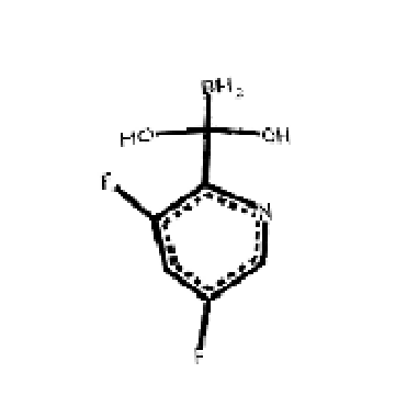 BC(O)(O)c1ncc(F)cc1F